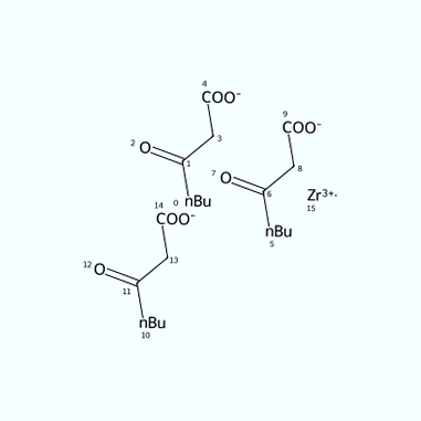 CCCCC(=O)CC(=O)[O-].CCCCC(=O)CC(=O)[O-].CCCCC(=O)CC(=O)[O-].[Zr+3]